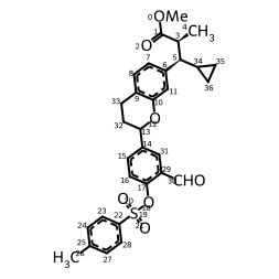 COC(=O)[C@@H](C)[C@H](c1ccc2c(c1)OC(c1ccc(OS(=O)(=O)c3ccc(C)cc3)c(C=O)c1)CC2)C1CC1